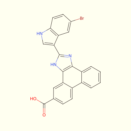 O=C(O)c1ccc2c3ccccc3c3nc(-c4c[nH]c5ccc(Br)cc45)[nH]c3c2c1